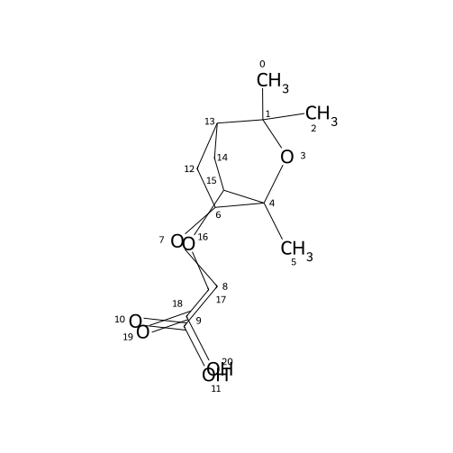 CC1(C)OC2(C)C(OCC(=O)O)CC1CC2OCC(=O)O